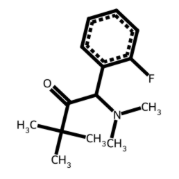 CN(C)C(C(=O)C(C)(C)C)c1ccccc1F